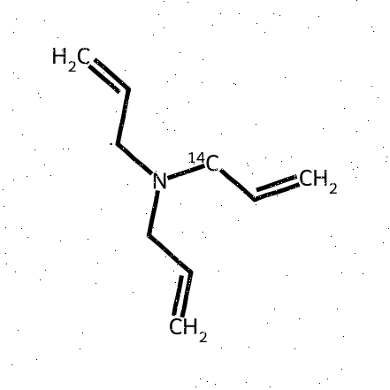 C=C[CH]N(CC=C)[14CH2]C=C